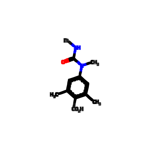 CCNC(=O)N(C)c1cc(C)c(C(=O)O)c(C)c1